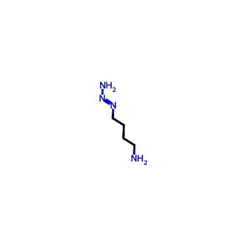 NCCCCN=NN